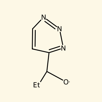 CCC([O])c1ccnnn1